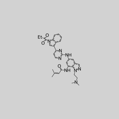 CCS(=O)(=O)n1cc(-c2ccnc(Nc3cc(NC(=O)C=C(C)C)c4c(cnn4CCN(C)C)c3)n2)c2ccccc21